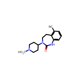 N#Cc1cccc2c1CCN(C1CCN(C(=O)O)CC1)C(=O)N2